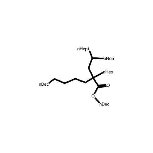 CCCCCCCCCCCCCCC(CCCCCC)(CC(CCCCCCC)CCCCCCCCC)C(=O)OCCCCCCCCCC